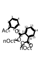 CC(=O)c1ccccc1.CCCCCCCCOC(=O)c1ccccc1C(=O)OCCCCCCCC